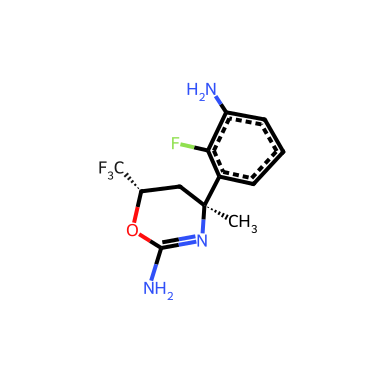 C[C@@]1(c2cccc(N)c2F)C[C@@H](C(F)(F)F)OC(N)=N1